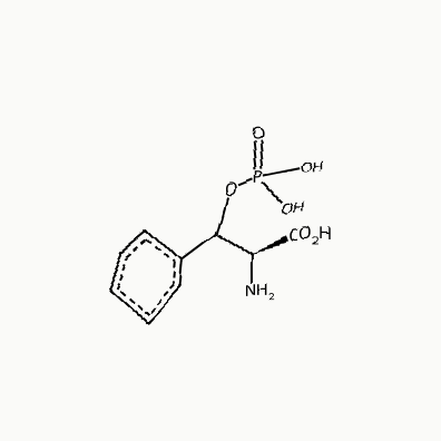 N[C@H](C(=O)O)C(OP(=O)(O)O)c1ccccc1